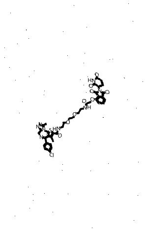 Cc1c(C(=O)NCCOCCOCCNC(=O)COc2cccc3c2C(=O)N(C2CCC(=O)NC2=O)C3=O)sc2c1C(c1ccc(Cl)cc1)=NCc1nnc(C)n1-2